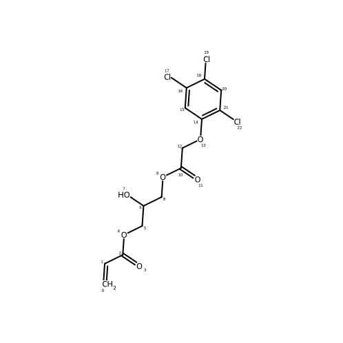 C=CC(=O)OCC(O)COC(=O)COc1cc(Cl)c(Cl)cc1Cl